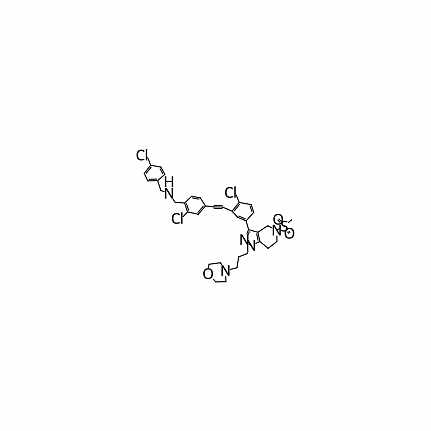 CS(=O)(=O)N1CCc2c(c(-c3ccc(Cl)c(C#Cc4ccc(CNCc5ccc(Cl)cc5)c(Cl)c4)c3)nn2CCCN2CCOCC2)C1